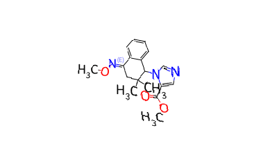 CO/N=C1\CC(C)(C)C(n2cncc2C(=O)OC)c2ccccc21